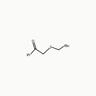 CC(C)C(=O)CSCC(C)(C)C